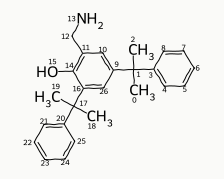 CC(C)(c1ccccc1)c1cc(CN)c(O)c(C(C)(C)c2ccccc2)c1